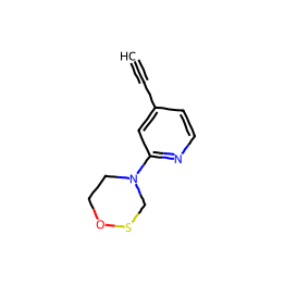 C#Cc1ccnc(N2CCOSC2)c1